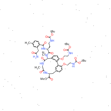 COC(=O)[C@@H]1Cc2ccc(OCCNC(=O)OC(C)(C)C)c(c2)-c2cc(ccc2OCCNC(=O)OC(C)(C)C)[C@H](N(C)C(=O)[C@H](CCNC(=O)OC(C)(C)C)NC(=O)c2ccc(C)cc2CC(N)=O)C(=O)N[C@@H](C)C(=O)N1